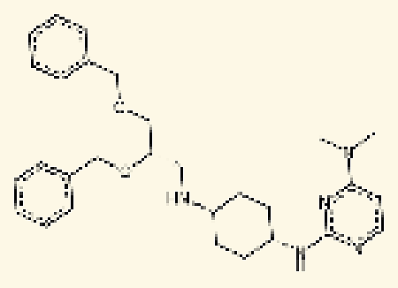 CN(C)c1ccnc(N[C@H]2CC[C@@H](NC[C@@H](COCc3ccccc3)OCc3ccccc3)CC2)n1